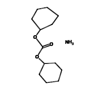 N.O=C(OC1CCCCC1)OC1CCCCC1